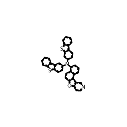 c1ccc2c(c1)sc1cc(N(c3ccc4sc5ccccc5c4c3)c3cccc4c3ccc3oc5ccncc5c34)ccc12